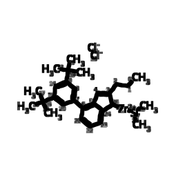 CCCC1=Cc2c(-c3cc(C(C)(C)C)cc(C(C)(C)C)c3)cccc2[CH]1[Zr+2][Si](C)C.[Cl-].[Cl-]